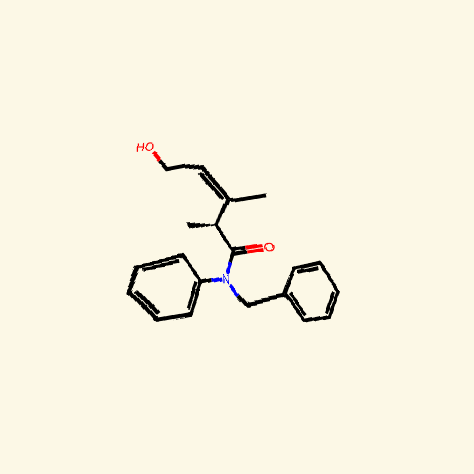 C/C(=C/CO)[C@H](C)C(=O)N(Cc1ccccc1)c1ccccc1